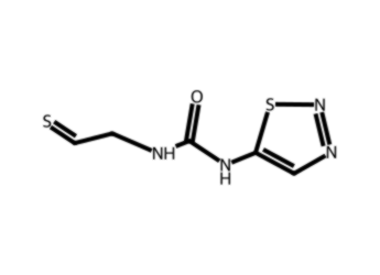 O=C(NCC=S)Nc1cnns1